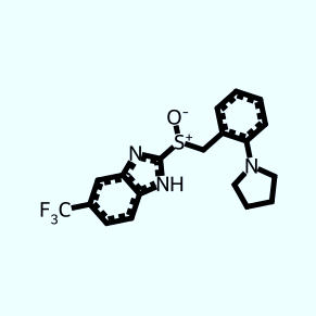 [O-][S+](Cc1ccccc1N1CCCC1)c1nc2cc(C(F)(F)F)ccc2[nH]1